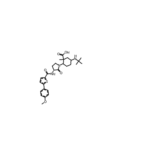 COc1ccc(-c2ccc(C(=O)N[C@H]3CCN(C4CCC(NC(C)(C)C)CC4(C)C(=O)O)C3=O)s2)cc1